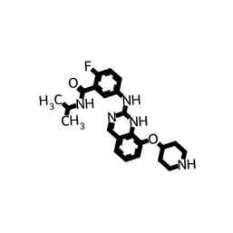 CC(C)NC(=O)c1cc(NC2N=Cc3cccc(OC4CCNCC4)c3N2)ccc1F